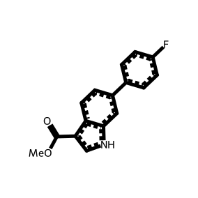 COC(=O)c1c[nH]c2cc(-c3ccc(F)cc3)ccc12